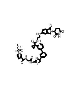 CS(=O)(=O)n1ccc(C(=O)NCC(=O)Nc2nc(-c3cccc(-c4ccnc(C5(C(=O)NCCNc6ccc7c(c6)CN(C6CCC(=O)NC6=O)C7=O)CC5)c4)c3)cs2)c1